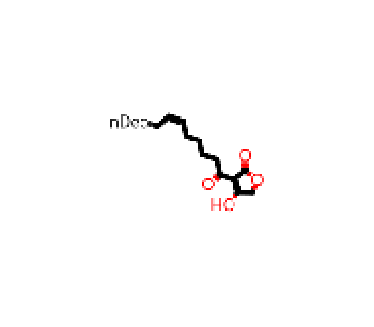 CCCCCCCCCCC/C=C\CCCCC(=O)C1=C(O)COC1=O